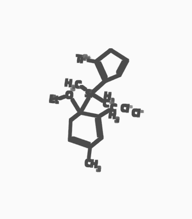 CCOC1([Si](C)(C)C2=[C]([Ti+2])CC=C2)CC=C(C)C=C1C.[Cl-].[Cl-]